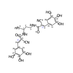 CCCC(CCNC(=O)/C(C#N)=C/c1cc(O)c(O)c(O)c1)NC(=O)/C(C#N)=C/c1cc(O)c(O)c(O)c1